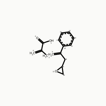 C=C(C)C(=O)O.C=C(CC1CO1)c1ccccc1